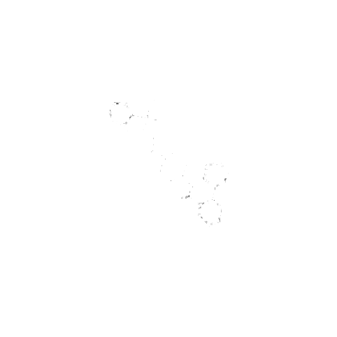 CCC(CCCN1CCC(NC(=O)c2cc(Cl)ccc2-c2ccccc2)CC1)(CC(=O)O)c1ccccc1